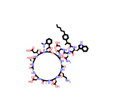 CCCCCc1ccc(/C(C)=C/C(=O)N[C@@H](Cc2c[nH]c3ccccc23)C(=O)N[C@H](CC(N)=O)C(=O)N[C@@H](CC(=O)O)C(=O)N[C@@H]2C(=O)NCC(=O)N[C@@H](CCCN)C(=O)N[C@@H](CC(=O)O)C(=O)N[C@H](C)C(=O)N[C@@H](CC(=O)O)C(=O)NCC(=O)N[C@H](CO)C(=O)N[C@@H](C(C)CC(=O)O)C(=O)N[C@@H](CC(=O)c3ccccc3NC)C(=O)O[C@@H]2C)cc1